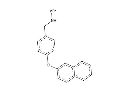 CCCNCc1ccc(Oc2ccc3ccccc3c2)cc1